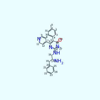 Cc1ccc(-c2c(-c3ccncc3)nc(NCC(N)Cc3ccccc3)n(C)c2=O)cc1